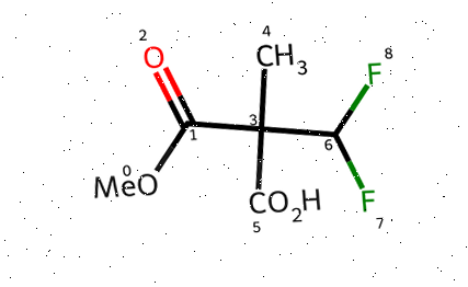 COC(=O)C(C)(C(=O)O)C(F)F